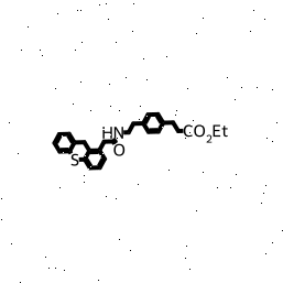 CCOC(=O)CCc1ccc(CCNC(=O)Cc2cccc3c2Cc2ccccc2S3)cc1